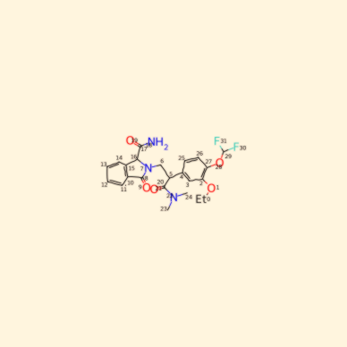 CCOc1cc(C(CN2C(=O)c3[c]cccc3C2C(N)=O)C(=O)N(C)C)ccc1OC(F)F